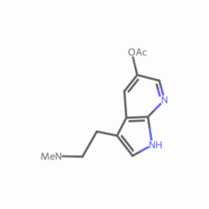 CNCCc1c[nH]c2ncc(OC(C)=O)cc12